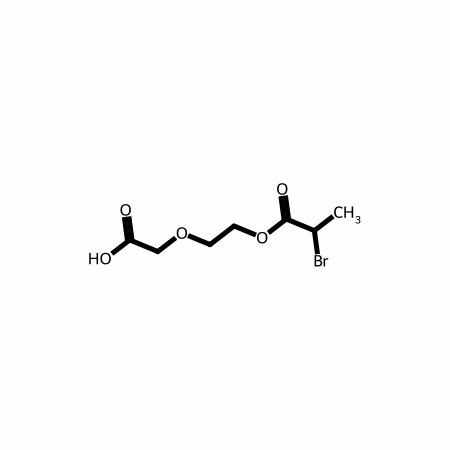 CC(Br)C(=O)OCCOCC(=O)O